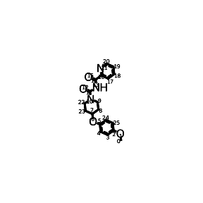 COc1ccc(OC2CCN(C(=O)NC(=O)c3ccccn3)CC2)cc1